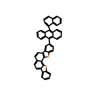 c1ccc2c(-c3c4ccccc4c(-c4ccc5sc6c(ccc7ccc8c9ccccc9sc8c76)c5c4)c4ccccc34)cccc2c1